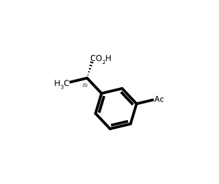 CC(=O)c1cccc([C@H](C)C(=O)O)c1